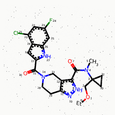 CCOCC1(N(C)C(=O)c2[nH]nc3c2CN(C(=O)c2cc4c(Cl)cc(F)cc4[nH]2)CC3)CC1